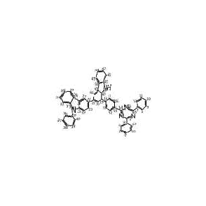 c1ccc(-c2nc(-c3ccccc3)nc(-c3ccc(-c4cc(-c5ccc6c(c5)c5ccccc5n6-c5ccccc5)cc5c4[nH]c4ccccc45)cc3)n2)cc1